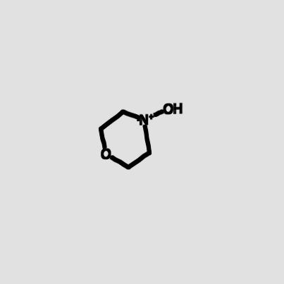 O[N+]1CCOCC1